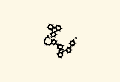 C=C1/C=C\C=C/Cc2cc(-c3ccc4c(c3)c3ccccc3n4-c3cccc(-c4ccc(C#N)cc4)c3)ccc2N1c1ccc2c3ccccc3c3ccccc3c2c1